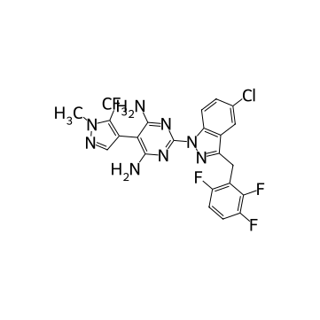 Cn1ncc(-c2c(N)nc(-n3nc(Cc4c(F)ccc(F)c4F)c4cc(Cl)ccc43)nc2N)c1C(F)(F)F